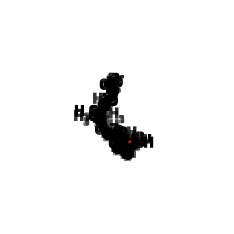 CC(C)N1C(=O)c2ccc(C(=O)Nc3ccc(C4(C)CC(C)(C)c5ccc(NC(=O)c6ccc7c(c6)C(=O)N(c6cc(C8(c9ccc(O)c(C(C)(C)C)c9)c9ccccc9-c9ccccc98)ccc6O)C7=O)cc54)cc3)cc2C1=O